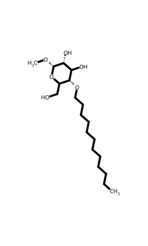 CCCCCCCCCCCCO[C@@H]1C(CO)O[C@H](OC)[C@H](O)C1O